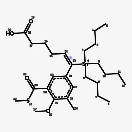 CCC[CH2][Sn]([CH2]CCC)([CH2]CCC)/[C](=C/CCCC(=O)O)c1cc(C)c(OC)c(C(=O)SC)c1